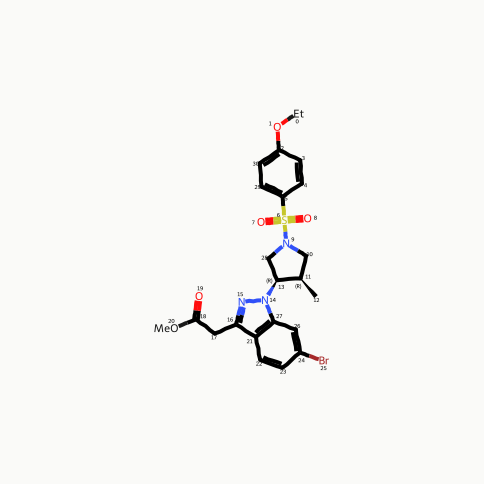 CCOc1ccc(S(=O)(=O)N2C[C@@H](C)[C@@H](n3nc(CC(=O)OC)c4ccc(Br)cc43)C2)cc1